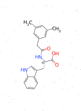 Cc1cc(C)cc(CC(=O)N[C@@H](Cc2c[nH]c3ccccc23)C(=O)O)c1